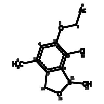 CC(=O)COc1cc(C)c2c(c1Cl)B(O)OC2